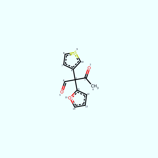 CC(=O)C([C]=O)(c1ccsc1)c1ccco1